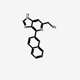 CC(C)Cc1cc2[nH][c]nc2c(-c2ccc3ccccc3c2)n1